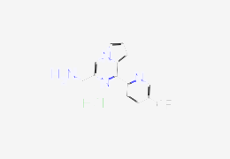 Cl.NCc1cn2cccc2c(-c2ccc(C(F)(F)F)cn2)n1